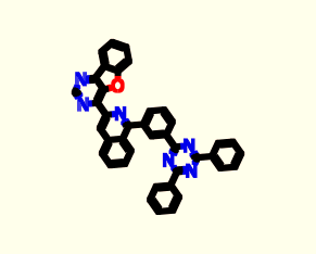 c1ccc(-c2nc(-c3ccccc3)nc(-c3cccc(-c4nc(-c5ncnc6c5oc5ccccc56)cc5ccccc45)c3)n2)cc1